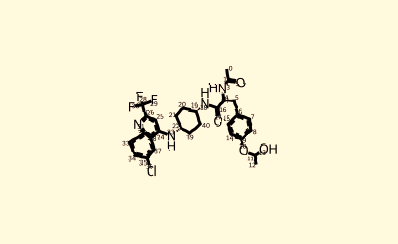 CC(=O)N[C@@H](Cc1ccc(OC(C)O)cc1)C(=O)N[C@H]1CC[C@@H](Nc2cc(C(F)(F)F)nc3ccc(Cl)cc23)CC1